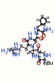 CCCC[C@@H]1NC[C@H](C(=O)C2(N3C[C@H](C(=O)N[C@H](Cc4ccccc4)C(N)=O)NC(=O)[C@@H]3CCCNC(=N)N)CC2)NC1=O